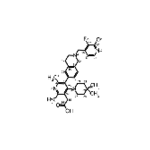 Cc1nc(C)c(-c2ccc3c(c2)CCN(Cc2ccnc(Cl)c2F)C3)c(N2CCC(C)(C)CC2)c1CC(=O)O